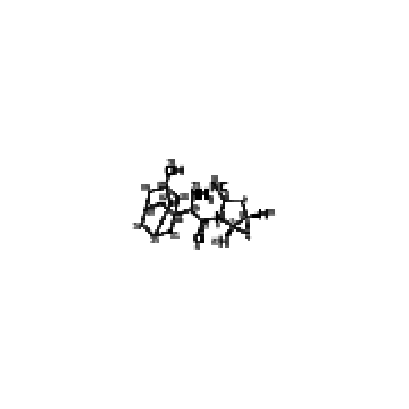 N#CC1C[C@@H]2C[C@@H]2N1C(=O)C(N)C12CC3CC(CC(O)(C3)C1)C2